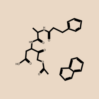 CC(=O)OCC(=O)C(CC(=O)O)NC(=O)C(C)NC(=O)CCc1ccccc1.c1ccc2ccccc2c1